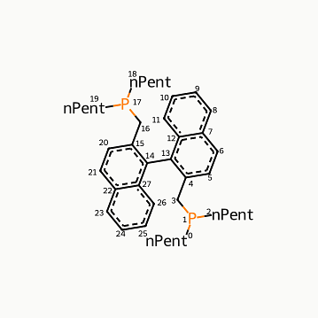 CCCCCP(CCCCC)Cc1ccc2ccccc2c1-c1c(CP(CCCCC)CCCCC)ccc2ccccc12